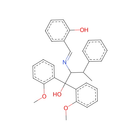 COc1ccccc1C(O)(c1ccccc1OC)C(N=Cc1ccccc1O)C(C)c1ccccc1